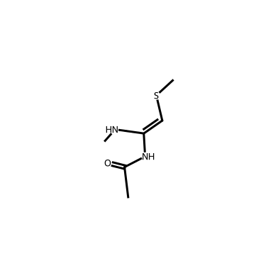 CN/C(=C\SC)NC(C)=O